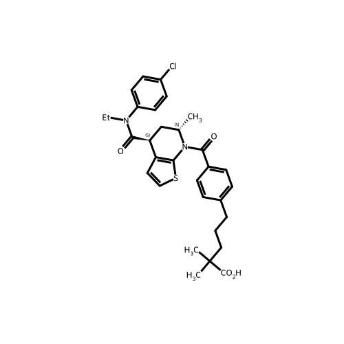 CCN(C(=O)[C@H]1C[C@H](C)N(C(=O)c2ccc(CCCC(C)(C)C(=O)O)cc2)c2sccc21)c1ccc(Cl)cc1